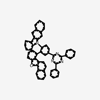 c1ccc(-c2nc(-c3ccccc3)nc(-c3ccc(-n4c5ccccc5c5cc6ccccc6cc54)c(-c4cccc5oc6c7ccccc7ccc6c45)c3)n2)cc1